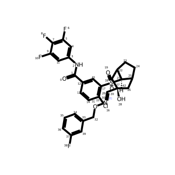 O=C(Nc1cc(F)c(F)c(F)c1)c1ccc(Cl)c(S(=O)(=O)[C@H]2C3CCC2C[C@](O)(/C=N/OCc2cccc(F)c2)C3)c1